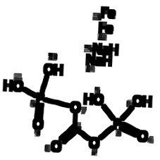 O=C(OP(=O)(O)O)OP(=O)(O)O.[Fe].[Fe].[NaH].[NaH]